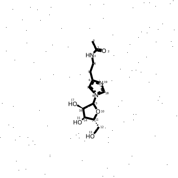 CC(=O)NCCc1cn(C2O[C@H](CO)[C@@H](O)[C@H]2O)cn1